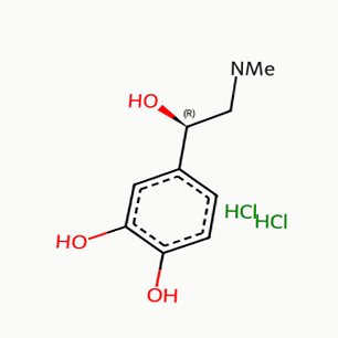 CNC[C@H](O)c1ccc(O)c(O)c1.Cl.Cl